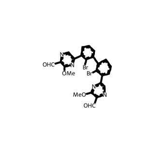 COc1nc(-c2cccc(-c3cccc(-c4cnc(C=O)c(OC)n4)c3Br)c2Br)cnc1C=O